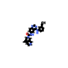 C#Cc1cccc(Nc2ncnc3ccc(NC(=O)N(Cc4cccnc4)CC4CC4)cc23)c1